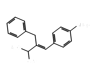 CCCCCCCc1ccc(/C=C(\Cc2ccccc2)C(OC(C)=O)OC(C)=O)cc1